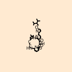 CC(C)C(COC1=NC(c2ccc3c(n2)N2CC(CCCNc4cccc(n4)S(=O)(=O)NC3=O)CC2(C)C)C=C1)C(C)C